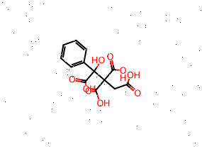 O=C(O)CC(C(=O)O)(C(=O)O)C(O)(C(=O)O)c1ccccc1